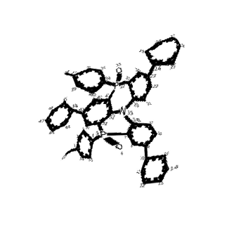 Cc1ccc(P2(=O)c3cc(-c4ccccc4)ccc3N3c4ccc(-c5ccccc5)cc4P(=O)(c4ccc(C)cc4)c4cc(-c5ccccc5)cc2c43)cc1